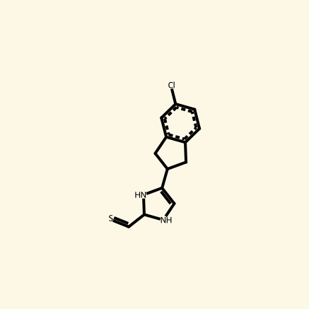 S=CC1NC=C(C2Cc3ccc(Cl)cc3C2)N1